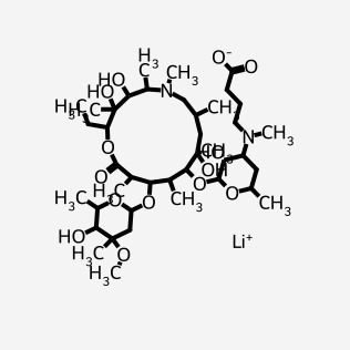 CCC1OC(=O)C(C)C(OC2CC(C)(OC)C(O)C(C)O2)C(C)C(OC2OC(C)CC(N(C)CCCC(=O)[O-])C2O)C(C)(O)CC(C)CN(C)C(C)C(O)C1(C)O.[Li+]